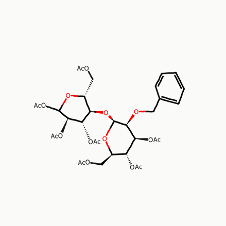 CC(=O)OC[C@H]1O[C@@H](O[C@H]2[C@H](OC(C)=O)[C@@H](OC(C)=O)C(OC(C)=O)O[C@@H]2COC(C)=O)[C@@H](OCc2ccccc2)[C@@H](OC(C)=O)[C@@H]1OC(C)=O